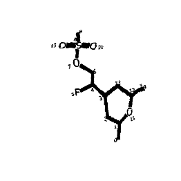 CC1CC(C(F)COS(C)(=O)=O)CC(C)O1